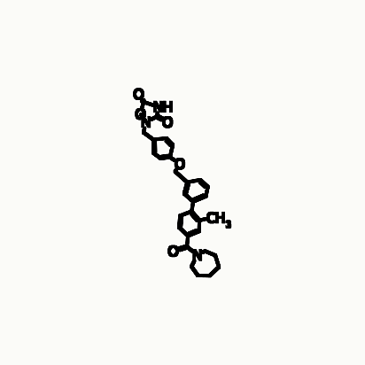 Cc1cc(C(=O)N2CCCCCC2)ccc1-c1cccc(COc2ccc(Cn3oc(=O)[nH]c3=O)cc2)c1